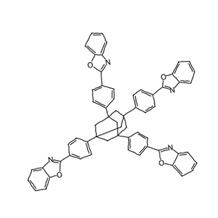 c1ccc2oc(-c3ccc(C45CC6(c7ccc(-c8nc9ccccc9o8)cc7)CC(c7ccc(-c8nc9ccccc9o8)cc7)(C4)CC(c4ccc(-c7nc8ccccc8o7)cc4)(C5)C6)cc3)nc2c1